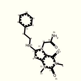 Cn1c(=O)c2c(nc(NCCc3ccccc3)n2CC(N)=O)n(C)c1=O